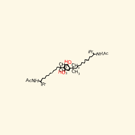 CC(=O)NC(CCCCCCCCCC(C)(C)c1cc(O)c(C(C)(C)CCCCCCCCCC(NC(C)=O)C(C)C)cc1O)C(C)C